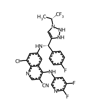 C[C@@H](N1C=C([C@@H](Nc2cc(Cl)c3ncc(C#N)c(Nc4cnc(F)c(F)c4)c3c2)c2ccc(F)cc2)NN1)C(F)(F)F